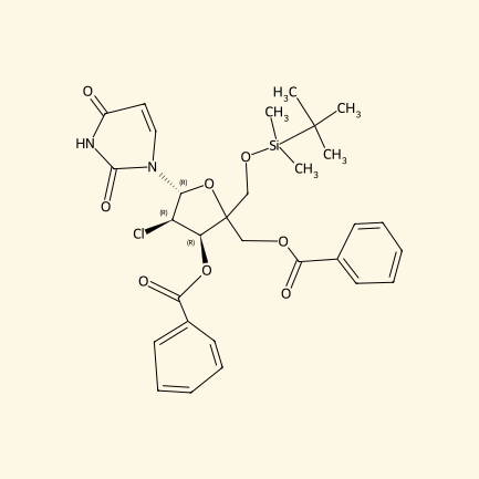 CC(C)(C)[Si](C)(C)OCC1(COC(=O)c2ccccc2)O[C@@H](n2ccc(=O)[nH]c2=O)[C@H](Cl)[C@@H]1OC(=O)c1ccccc1